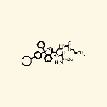 C=CCOC(=O)NCCC(NC(=O)C(N)C(C)CC)C(=O)c1ccccc1C(O)(c1ccccc1)c1ccc(C2CCCCCCC2)cc1